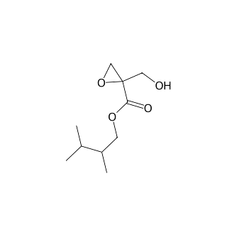 CC(C)C(C)COC(=O)C1(CO)CO1